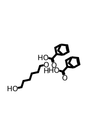 O=C(O)C1CC2C=CC1C2.O=C(O)C1CC2C=CC1C2.OCCCCCCO